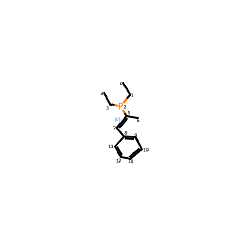 CCP(CC)/C(C)=C/c1ccccc1